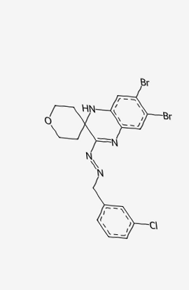 Clc1cccc(CN=NC2=Nc3cc(Br)c(Br)cc3NC23CCOCC3)c1